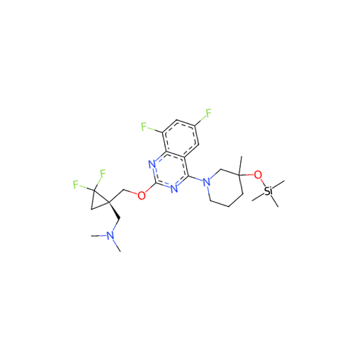 CN(C)C[C@@]1(COc2nc(N3CCCC(C)(O[Si](C)(C)C)C3)c3cc(F)cc(F)c3n2)CC1(F)F